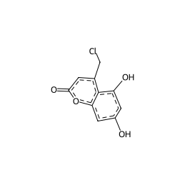 O=c1cc(CCl)c2c(O)cc(O)cc2o1